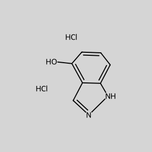 Cl.Cl.Oc1cccc2[nH]ncc12